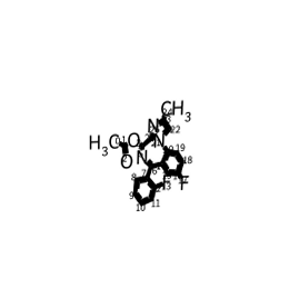 CC(=O)OC1N=C(c2ccccc2F)c2cc(F)ccc2-n2cc(C)nc21